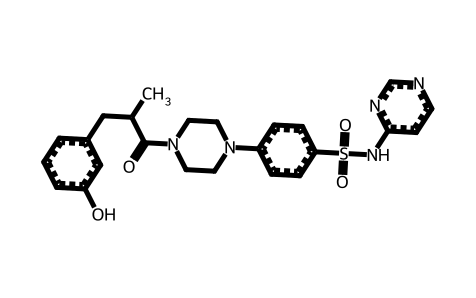 CC(Cc1cccc(O)c1)C(=O)N1CCN(c2ccc(S(=O)(=O)Nc3ccncn3)cc2)CC1